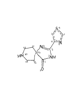 O=C1NC(c2cscn2)=NC12CCNCC2